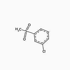 CS(=O)(=O)c1c[c]cc(Cl)c1